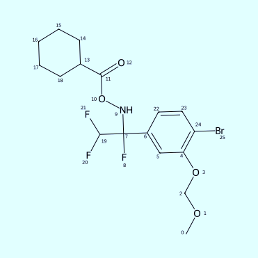 COCOc1cc(C(F)(NOC(=O)C2CCCCC2)C(F)F)ccc1Br